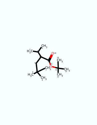 CC(C)C(CC(C)(C)C)C(=O)OC(C)(C)C